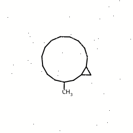 CC1CCCCCCCCCCCC2CC2C1